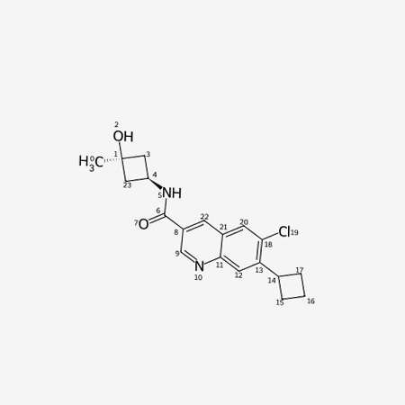 C[C@]1(O)C[C@@H](NC(=O)c2cnc3cc(C4CCC4)c(Cl)cc3c2)C1